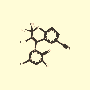 CC1=C(n2cc(Cl)cc(Cl)c2=O)c2cc(C#N)ccc2OC1(C)C